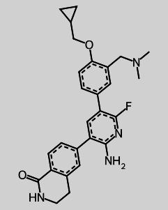 CN(C)Cc1cc(-c2cc(-c3ccc4c(c3)CCNC4=O)c(N)nc2F)ccc1OCC1CC1